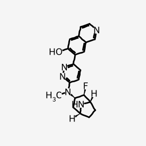 CN(c1ccc(-c2cc3cnccc3cc2O)nn1)[C@@H]1C[C@H]2CC[C@H](N2)[C@@H]1F